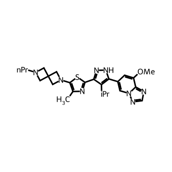 CCCN1CC2(C1)CN(c1sc(-c3n[nH]c(-c4cc(OC)c5ncnn5c4)c3C(C)C)nc1C)C2